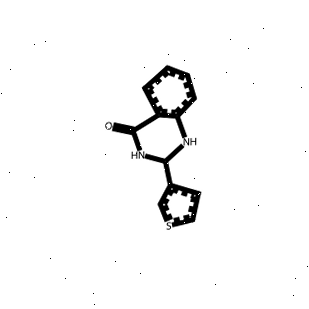 O=C1NC(c2ccsc2)Nc2ccccc21